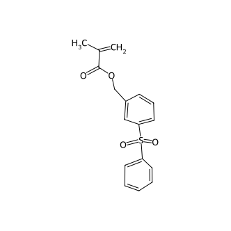 C=C(C)C(=O)OCc1cccc(S(=O)(=O)c2ccccc2)c1